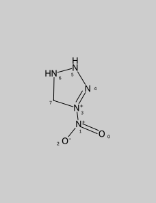 O=[N+]([O-])[N+]1=NNNC1